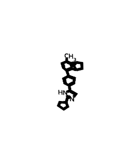 Cc1ccc(-c2ccc(-c3cnc(C4CCCC4)[nH]3)cc2)c2c1C1CCC2C1